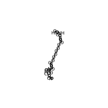 O=C1CCC(Nc2ccc(N3CCN(C(=O)CCOCCOCCOCCOCCOCCOCCC(=O)N4CCN(C(=O)c5cc(NC(=O)c6cc(-c7ccccn7)c(Cl)cc6Cl)n(-c6ccccc6)n5)CC4)CC3)cc2)C(=O)N1